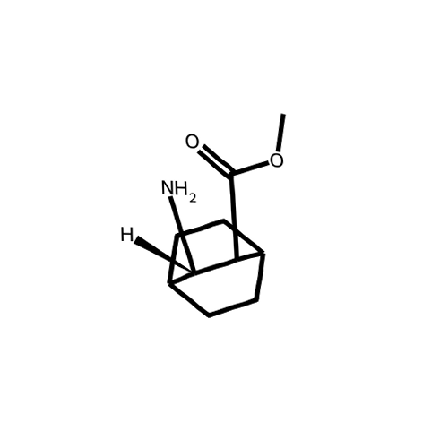 COC(=O)C1C2CCC(CC2)[C@@H]1N